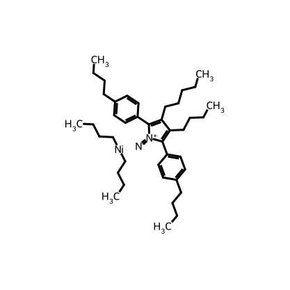 CCCCCC1=C(c2ccc(CCCC)cc2)[N+](=[N-])C(c2ccc(CCCC)cc2)=C1CCCC.CCC[CH2][Ni][CH2]CCC